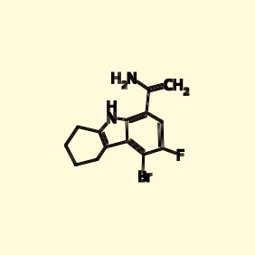 C=C(N)c1cc(F)c(Br)c2c3c([nH]c12)CCCC3